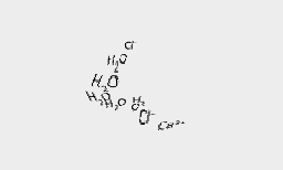 O.O.O.O.O.[Ca+2].[Cl-].[Cl-]